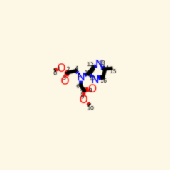 COC(=O)CN(CC(=O)OC)c1cnc(C)cn1